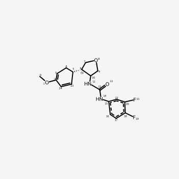 COC1=CCC([C@@H]2COCC2NC(=O)Nc2ccc(F)c(F)c2)C=C1